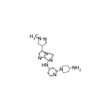 CN1CC(c2cnc3c(Nc4ccnc(N5CCC(N)CC5)c4)nccn23)C=N1